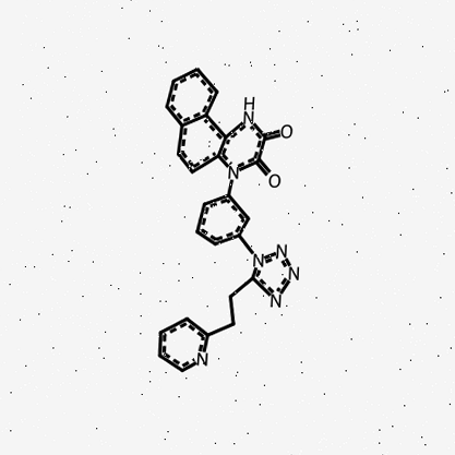 O=c1[nH]c2c3ccccc3ccc2n(-c2cccc(-n3nnnc3CCc3ccccn3)c2)c1=O